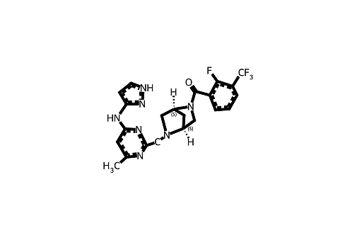 Cc1cc(Nc2cc[nH]n2)nc(CN2C[C@@H]3C[C@H]2CN3C(=O)c2cccc(C(F)(F)F)c2F)n1